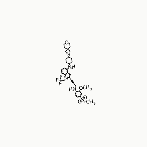 CCS(=O)(=O)c1ccc(NCC#Cc2cc3c(N[C@H]4CC[C@@H](N5CC6(CCOCC6)C5)CC4)cccc3n2CC(F)(F)F)c(OC)c1